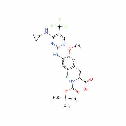 COc1cc(C[C@H](NC(=O)OC(C)(C)C)C(=O)O)c(Cl)cc1Nc1ncc(C(F)(F)F)c(NC2CC2)n1